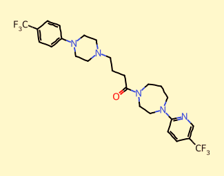 O=C(CCCN1CCN(c2ccc(C(F)(F)F)cc2)CC1)N1CCCN(c2ccc(C(F)(F)F)cn2)CC1